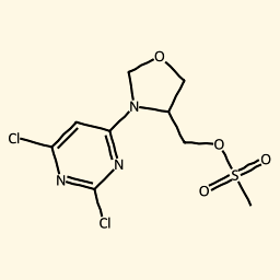 CS(=O)(=O)OCC1COCN1c1cc(Cl)nc(Cl)n1